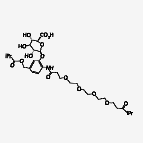 CC(C)C(=O)CCOCCOCCOCCOCCC(=O)Nc1ccc(COC(=O)C(C)C)cc1O[C@@H]1O[C@H](C(=O)O)[C@@H](O)[C@H](O)[C@H]1O